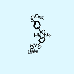 CCCCCCCCCCSc1ccc(C(=O)Nc2cc(C(=O)NCCOC)ccc2CCC)cc1